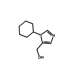 OCc1cncn1C1CCCCC1